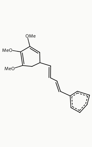 COC1=CC(/C=C/C=C/c2ccccc2)CC(OC)=C1OC